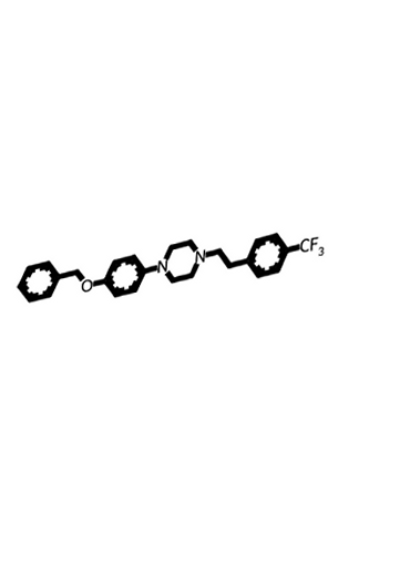 FC(F)(F)c1ccc(CCN2CCN(c3ccc(OCc4ccccc4)cc3)CC2)cc1